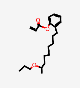 C=CC(=O)Oc1ccccc1CCCCCCCC(C)OCCC